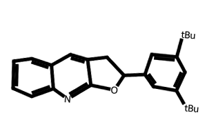 CC(C)(C)c1cc(C2Cc3cc4ccccc4nc3O2)cc(C(C)(C)C)c1